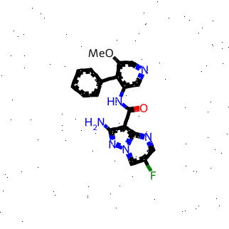 COc1cncc(NC(=O)c2c(N)nn3cc(F)cnc23)c1-c1ccccc1